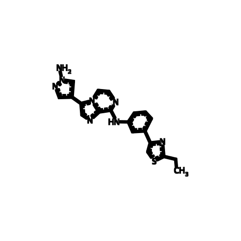 CCc1nc(-c2cccc(Nc3nccn4c(-c5cnn(N)c5)cnc34)c2)cs1